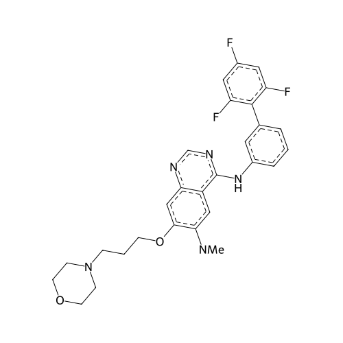 CNc1cc2c(Nc3cccc(-c4c(F)cc(F)cc4F)c3)ncnc2cc1OCCCN1CCOCC1